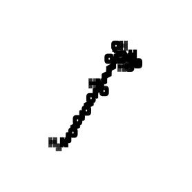 NCCOCCOCCOCCOCCC(=O)NCCCCCC(=O)N1C[C@H](O[PH](=O)O)C[C@H]1CO